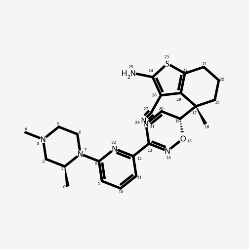 C[C@H]1CN(C)CCN1c1cccc(C2=NO[C@@H]([C@@]3(C)CCCc4sc(N)c(C#N)c43)C=N2)n1